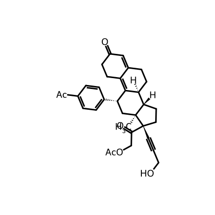 CC(=O)OCC(=O)[C@@]1(C#CCO)CC[C@H]2[C@@H]3CCC4=CC(=O)CCC4=C3[C@@H](c3ccc(C(C)=O)cc3)C[C@@]21C